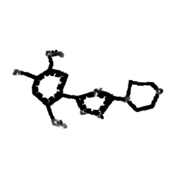 COc1cc(-c2nc(N3CCOCC3)no2)c(C)cc1C(C)C